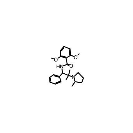 COc1cccc(OC)c1C(=O)NC(c1ccccc1)C(C)(C)N1CCCC1C